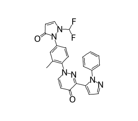 Cc1cc(-n2c(=O)ccn2C(F)F)ccc1-n1ccc(=O)c(-c2ccnn2-c2ccccc2)n1